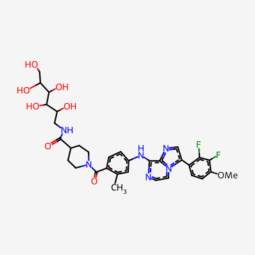 COc1ccc(-c2cnc3c(Nc4ccc(C(=O)N5CCC(C(=O)NCC(O)C(O)C(O)C(O)CO)CC5)c(C)c4)nccn23)c(F)c1F